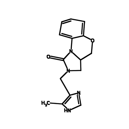 Cc1[nH]cnc1CN1CC2COc3ccccc3N2C1=O